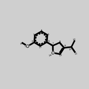 COc1cccc(C2CC(C(C)C)=CO2)c1